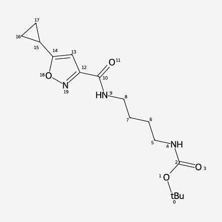 CC(C)(C)OC(=O)NCCCCNC(=O)c1cc(C2CC2)on1